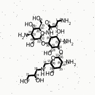 NC[C@H](O)C(=O)N[C@@H]1C[C@H](N)[C@@H](O[C@H]2O[C@H](CNCC(O)CO)[C@@H](O)C[C@H]2N)[C@H](O)[C@H]1O[C@H]1O[C@H](CO)[C@@H](O)[C@H](N)[C@H]1O